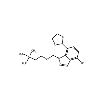 C[Si](C)(C)CCOCn1ncc2c(Br)ccc(C3OCCO3)c21